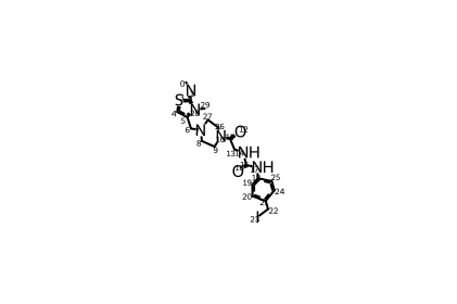 C/N=c1\scc(CN2CCN(C(=O)CNC(=O)Nc3ccc(CI)cc3)CC2)n1C